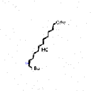 CCCC/C=C\CCCCCCCCCCOC(C)=O.Cl